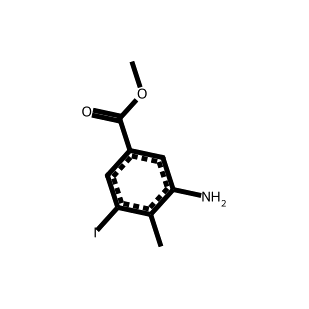 COC(=O)c1cc(N)c(C)c(I)c1